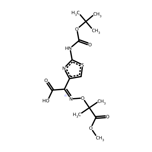 COC(=O)C(C)(C)O/N=C(/C(=O)O)c1csc(NC(=O)OC(C)(C)C)n1